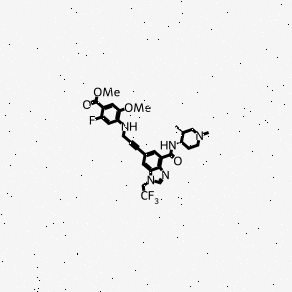 COC(=O)c1cc(OC)c(NCC#Cc2cc(C(=O)N[C@H]3CCN(C)C[C@@H]3C)c3ncn(CC(F)(F)F)c3c2)cc1F